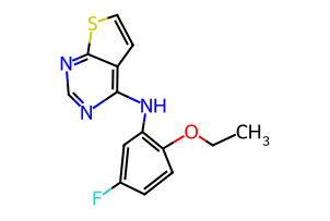 CCOc1ccc(F)cc1Nc1ncnc2sccc12